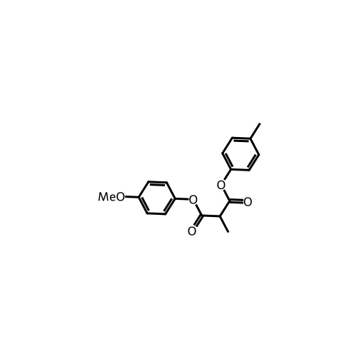 COc1ccc(OC(=O)C(C)C(=O)Oc2ccc(C)cc2)cc1